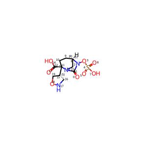 O=C1N(OS(=O)(=O)O)[C@@H]2CC[C@@](C(=O)O)([C@@H]3CNOC3)N1C2